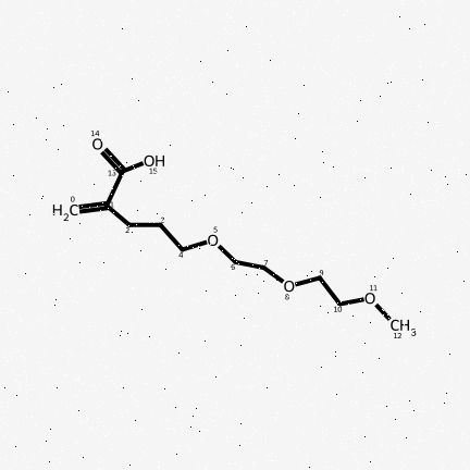 C=C(CCCOCCOCCOC)C(=O)O